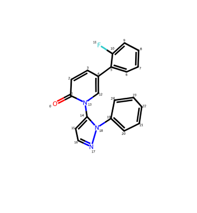 O=c1ccc(-c2ccccc2F)cn1-c1ccnn1-c1ccccc1